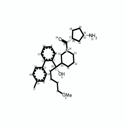 COCCCC[C@@](O)(c1ccccc1-c1ccc(C)cc1)C1CCCN(C(=O)[C@@H]2CC[C@H](N)C2)C1